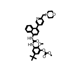 COC(=O)Oc1cc(C(C)(C)C)cc(NC(=O)Nc2ccc(-c3ccc(CN4CCOCC4)nc3)c3ccccc23)c1OC